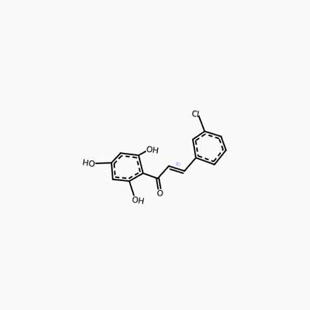 O=C(/C=C/c1cccc(Cl)c1)c1c(O)cc(O)cc1O